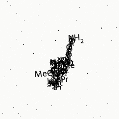 CC[C@H](C)[C@@H]([C@@H](CC(=O)N1CCC[C@H]1[C@H](OC)[C@@H](C)C(=O)N[C@@H](Cc1ccccc1)C(=O)NCCOCCOCCON)OC)N(C)C(=O)C(NC(=O)C(C(C)C)N(C)C)C(C)C